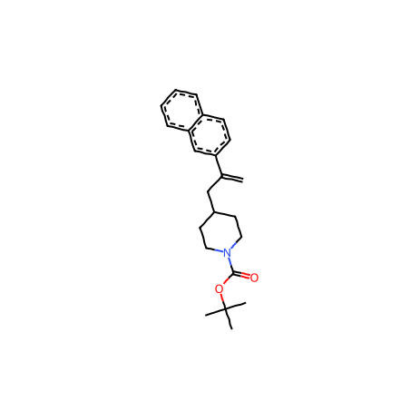 C=C(CC1CCN(C(=O)OC(C)(C)C)CC1)c1ccc2ccccc2c1